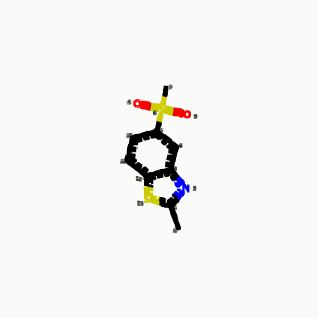 Cc1nc2cc(S(C)(=O)=O)ccc2s1